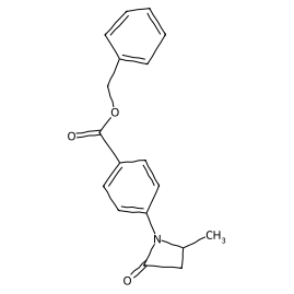 CC1CC(=O)N1c1ccc(C(=O)OCc2ccccc2)cc1